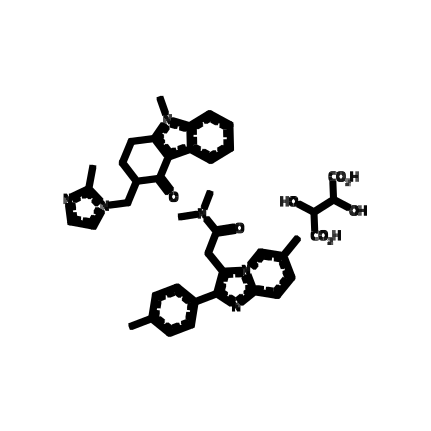 Cc1ccc(-c2nc3ccc(C)cn3c2CC(=O)N(C)C)cc1.Cc1nccn1CC1CCc2c(c3ccccc3n2C)C1=O.O=C(O)C(O)C(O)C(=O)O